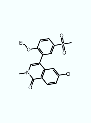 CCOc1ccc(S(C)(=O)=O)cc1-c1cn(C)c(=O)c2ccc(Cl)cc12